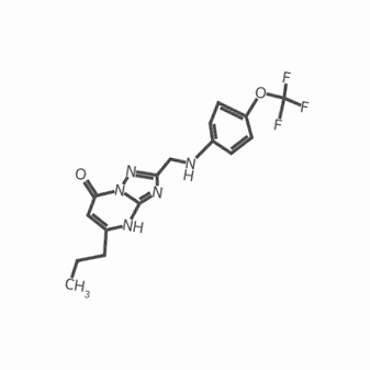 CCCc1cc(=O)n2nc(CNc3ccc(OC(F)(F)F)cc3)nc2[nH]1